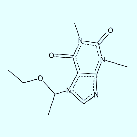 CCOC(C)n1cnc2c1c(=O)n(C)c(=O)n2C